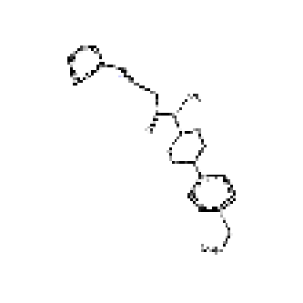 CNCc1ccc(C2CCC(N(C)C(=O)C/C=C/c3ccccc3)CC2)cc1